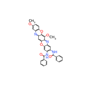 COc1ccc2c(c1)N=c1cc3c(c(OC)c1O2)=Nc1cc(NC(=O)c2ccccc2)c(NC(=O)c2ccccc2)cc1O3